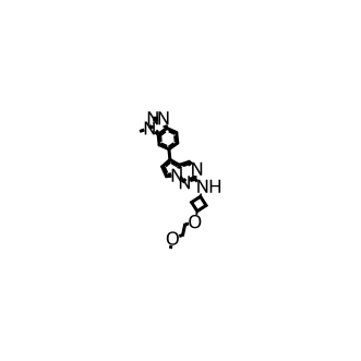 COCCO[C@H]1C[C@H](Nc2ncc3c(-c4ccc5nnn(C)c5c4)ccn3n2)C1